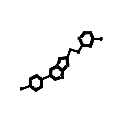 Fc1ccc(-c2cnc3nc(COc4cc(F)ccn4)cn3c2)cc1